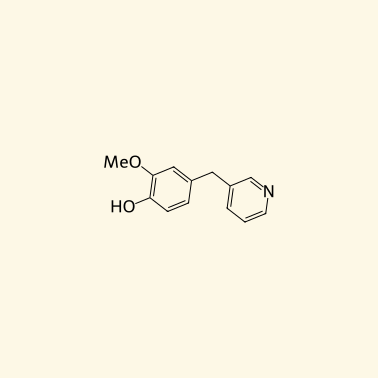 COc1cc(Cc2cccnc2)ccc1O